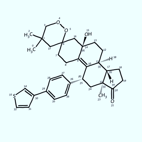 CC1(C)COOC2(CCC3=C4[C@@H](CC[C@@]3(O)C2)[C@@H]2CCC(=O)[C@@]2(C)C[C@@H]4c2ccc(-c3ccsc3)cc2)C1